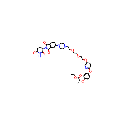 CCOC(=O)[C@@H](C)Oc1ccc(Oc2ccc(OCCOCCOCCN3CCN(c4ccc5c(c4)C(=O)N(C4CCC(=O)NC4=O)C5=O)CC3)cn2)cc1